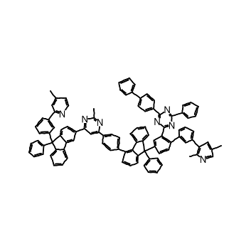 Cc1ccnc(-c2cccc(C3(c4ccccc4)c4ccccc4-c4cc(-c5cc(-c6ccc(-c7cccc8c7-c7ccccc7C8(c7ccccc7)c7ccc(-c8cccc(-c9cc(C)cnc9C)c8)c(-c8nc(-c9ccccc9)nc(-c9ccc(-c%10ccccc%10)cc9)n8)c7)cc6)nc(C)n5)ccc43)c2)c1